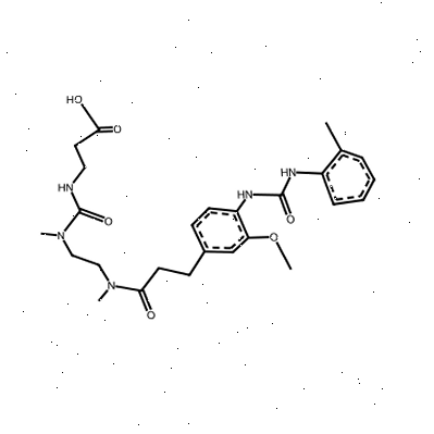 COc1cc(CCC(=O)N(C)CCN(C)C(=O)NCCC(=O)O)ccc1NC(=O)Nc1ccccc1C